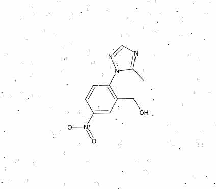 Cc1ncnn1-c1ccc([N+](=O)[O-])cc1CO